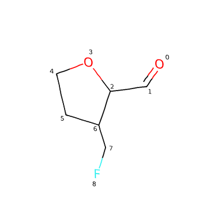 O=CC1OCCC1CF